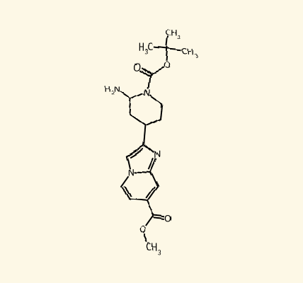 COC(=O)c1ccn2cc(C3CCN(C(=O)OC(C)(C)C)C(N)C3)nc2c1